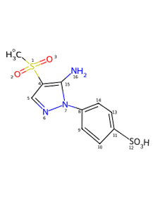 CS(=O)(=O)c1cnn(-c2ccc(S(=O)(=O)O)cc2)c1N